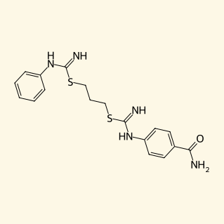 N=C(Nc1ccccc1)SCCCSC(=N)Nc1ccc(C(N)=O)cc1